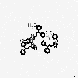 Cc1cccc(C(CCc2c[nH]cn2)c2cccc(C)c2)c1.Clc1ccc(Cn2cnc(CCC(c3ccccc3)c3ccccc3)c2)cc1.Clc1ccc(Cn2cncc2CCC(c2ccccc2)c2ccccc2)cc1